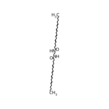 CCCCCC=CCC=CCC=CCC=CCCCC(=O)NCCNC(=O)CCCC=CCC=CCC=CCC=CCCCCC